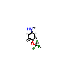 CNc1ccc(OC(F)(F)F)c(C)c1